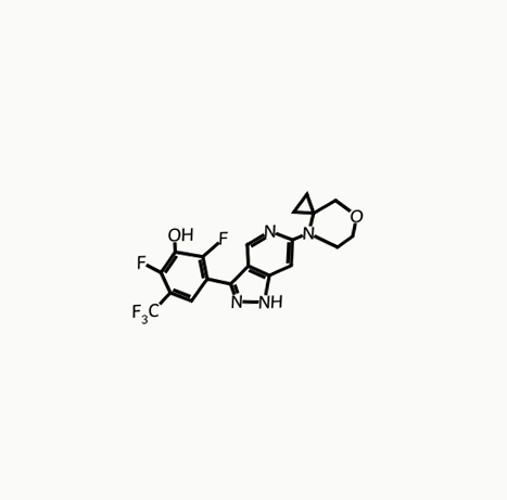 Oc1c(F)c(-c2n[nH]c3cc(N4CCOCC45CC5)ncc23)cc(C(F)(F)F)c1F